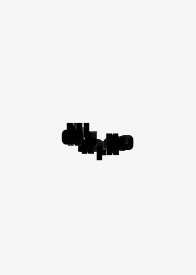 NC(=O)OCC1CCN(c2cc(F)c(-c3cnc(N4CCOCC4)nc3)cc2N)C1